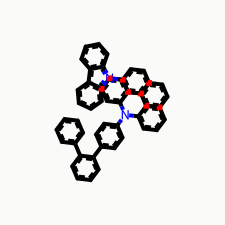 c1ccc(-c2ccccc2-c2ccc(N(c3ccccc3-c3ccccc3)c3ccccc3-c3cccc(-n4c5ccccc5c5ccccc54)c3)cc2)cc1